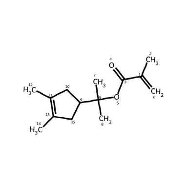 C=C(C)C(=O)OC(C)(C)C1CC(C)=C(C)C1